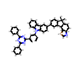 C=C/C(=C\C(=C)c1nc(-c2ccccc2)nc(-c2ccccc2)n1)n1c2ccccc2c2cc(-c3ccc4c(c3)-c3c(ccc5ncsc35)C4(C)C)ccc21